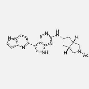 CC(=O)N1C[C@H]2C[C@@H](Nc3ncc4c(-c5ccn6nccc6n5)c[nH]c4n3)C[C@H]2C1